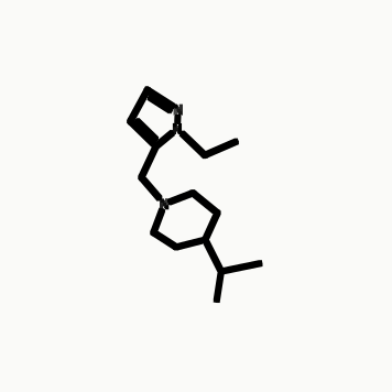 CCn1nccc1CN1CCC(C(C)C)CC1